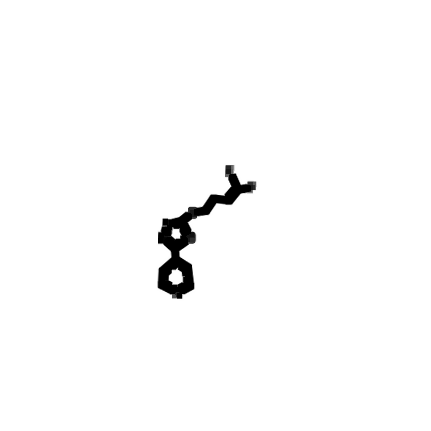 FC(F)=CCCSc1nnc(-c2ccncc2)o1